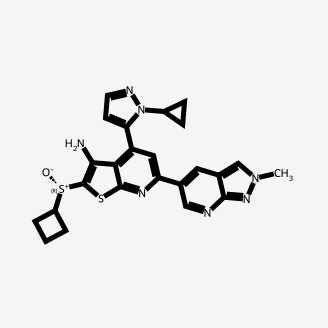 Cn1cc2cc(-c3cc(-c4ccnn4C4CC4)c4c(N)c([S@@+]([O-])C5CCC5)sc4n3)cnc2n1